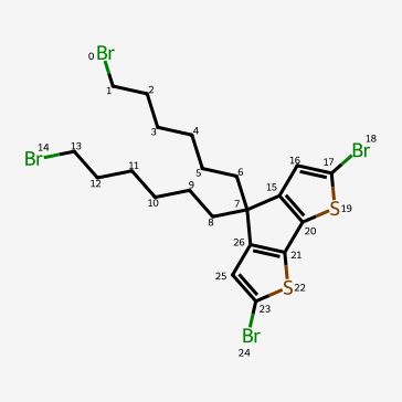 BrCCCCCCC1(CCCCCCBr)c2cc(Br)sc2-c2sc(Br)cc21